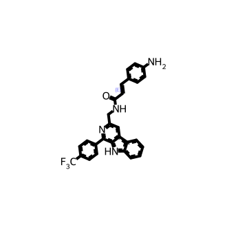 Nc1ccc(/C=C/C(=O)NCc2cc3c([nH]c4ccccc43)c(-c3ccc(C(F)(F)F)cc3)n2)cc1